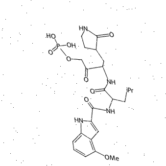 COc1cccc2[nH]c(C(=O)NC(CC(C)C)C(=O)NC(CC3CCNC3=O)C(=O)COP(=O)(O)O)cc12